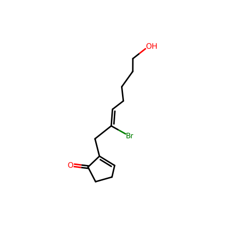 O=C1CCC=C1C/C(Br)=C/CCCCO